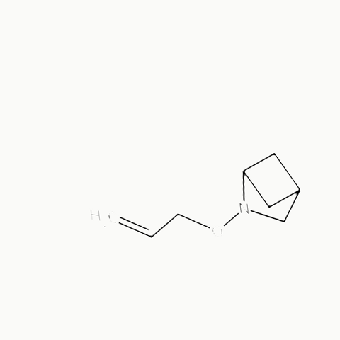 C=CCON1[CH]C2CC1C2